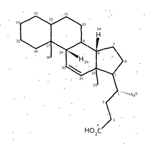 C[C@H](CCC(=O)O)C1CC[C@H]2C3CCC4CCCCC4(C)[C@H]3C=CC12C